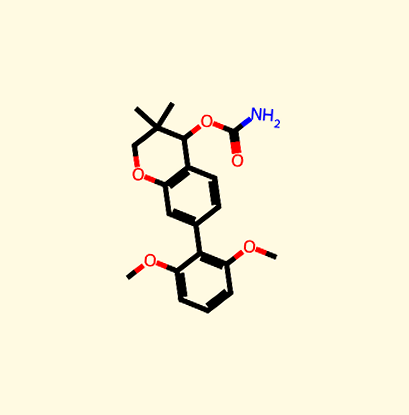 COc1cccc(OC)c1-c1ccc2c(c1)OCC(C)(C)C2OC(N)=O